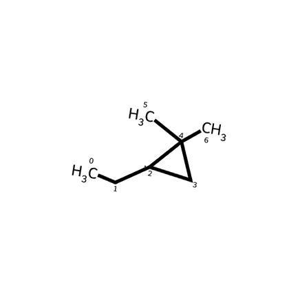 CC[C]1CC1(C)C